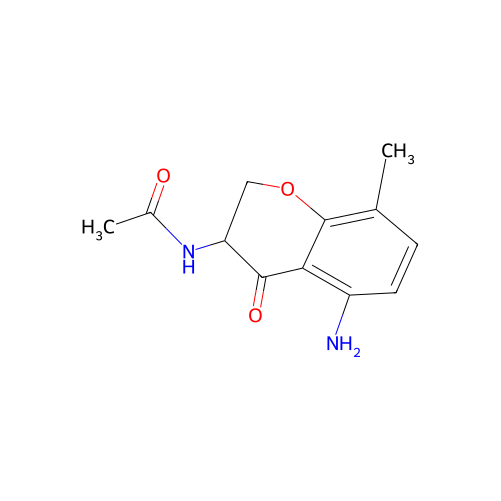 CC(=O)NC1COc2c(C)ccc(N)c2C1=O